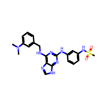 CN(C)c1cccc(CNc2nc(Nc3cccc(NS(C)(=O)=O)c3)nc3[nH]cnc23)c1